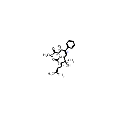 COC(=O)[C@@H](NC(C)=O)[C@H](S)/C(=C\C[C@@](C)(O)CCC=C(C)C)c1ccccc1